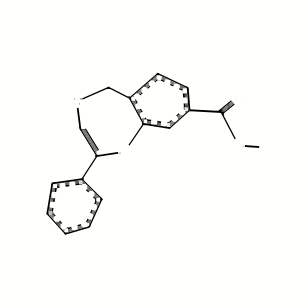 COC(=O)c1ccc2c(c1)OC(c1ccccc1)=CNC2